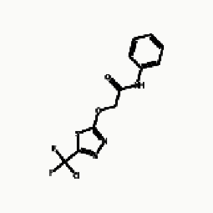 O=C(COc1nnc(C(F)(F)Cl)s1)Nc1ccccc1